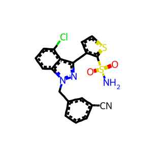 N#Cc1cccc(Cn2nc(-c3ccsc3S(N)(=O)=O)c3c(Cl)cccc32)c1